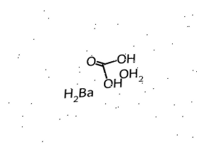 O.O=C(O)O.[BaH2]